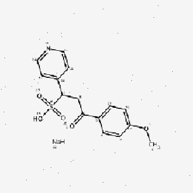 COc1ccc(C(=O)CC(c2ccncc2)S(=O)(=O)O)cc1.[NaH]